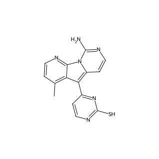 Cc1ccnc2c1c(-c1ccnc(S)n1)c1ccnc(N)n12